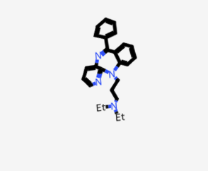 CCN(CC)CCCN1c2ccccc2C(c2ccccc2)=Nc2cccnc21